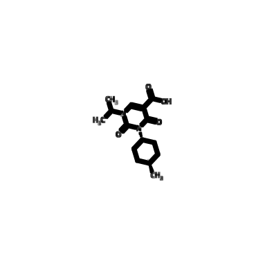 CC(C)n1cc(C(=O)O)c(=O)n([C@H]2CC[C@H](C)CC2)c1=O